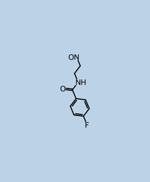 O=NCCNC(=O)c1ccc(F)cc1